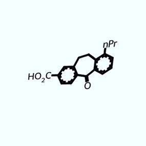 CCCc1cccc2c1CCc1cc(C(=O)O)ccc1C2=O